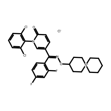 O=c1ccc(C(=NOC2CC[N+]3(CCCCC3)CC2)c2ccc(F)cc2F)cn1-c1c(Cl)cccc1Cl.[Cl-]